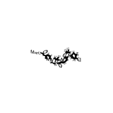 COC(=O)Cc1ccc(N2CCN(C(=O)c3ccc4c(n3)OC(C)(C)CN4c3ccc(Cl)c(F)c3)C(C)(C)C2)nc1